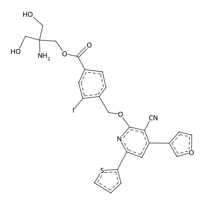 N#Cc1c(-c2ccoc2)cc(-c2cccs2)nc1OCc1ccc(C(=O)OCC(N)(CO)CO)cc1I